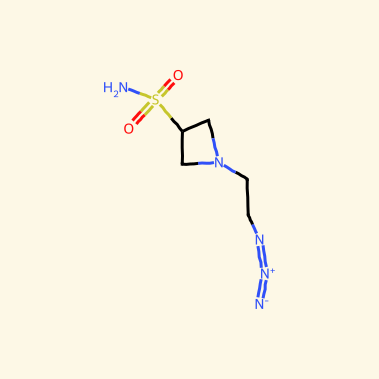 [N-]=[N+]=NCCN1CC(S(N)(=O)=O)C1